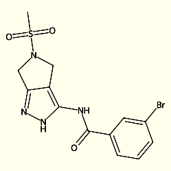 CS(=O)(=O)N1Cc2n[nH]c(NC(=O)c3cccc(Br)c3)c2C1